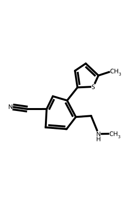 CNCc1ccc(C#N)cc1-c1ccc(C)s1